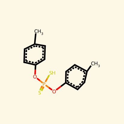 Cc1ccc(OP(=S)(S)Oc2ccc(C)cc2)cc1